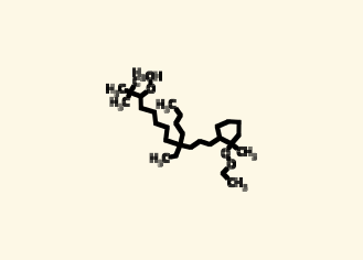 CCCCC(CC)(CCCCCC(OO)C(C)(C)C)CCCC1CCCCC1(C)OOCC